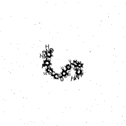 CNc1cc(=O)n(-c2ccnc3c2cc([C@H](C)N2CC=C(c4c(C)cc(C(=O)N5CCC(CN6CCN(c7ccc(N[C@H]8CCC(=O)NC8=O)cc7F)C[C@H]6C)CC5)cc4F)CC2)n3C)cc1F